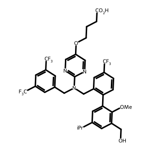 COc1c(CO)cc(C(C)C)cc1-c1ccc(C(F)(F)F)cc1CN(Cc1cc(C(F)(F)F)cc(C(F)(F)F)c1)c1ncc(OCCCC(=O)O)cn1